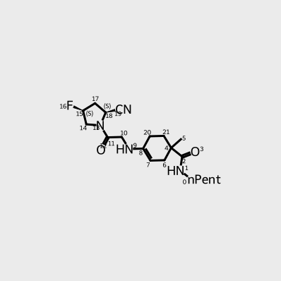 CCCCCNC(=O)C1(C)CC=C(NCC(=O)N2C[C@@H](F)C[C@H]2C#N)CC1